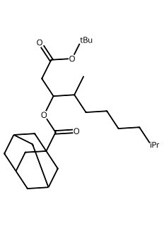 CC(C)CCCCC(C)C(CC(=O)OC(C)(C)C)OC(=O)C12CC3CC(CC(C3)C1)C2